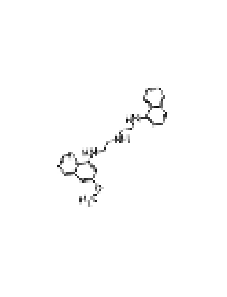 COc1cc(NCCNCCNc2cccc3ccccc23)c2ncccc2c1